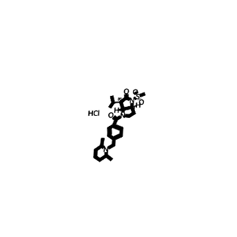 CC(C)[C@H]1C(=O)N(S(C)(=O)=O)[C@H]2CCN(C(=O)c3ccc(CN4C(C)CCCC4C)cc3)[C@H]12.Cl